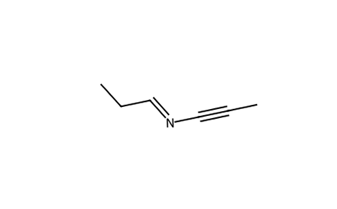 CC#C/N=C/CC